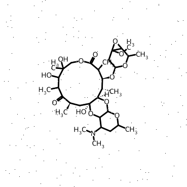 COC12CC(O[C@@H]3C(C)C(=O)OCC(C)(O)C(O)C(C)C(=O)[C@H](C)C[C@]4(O)OC5C(OC(C)CC5N(C)C)O[C@@H]4[C@H]3C)OC(C)C1O2